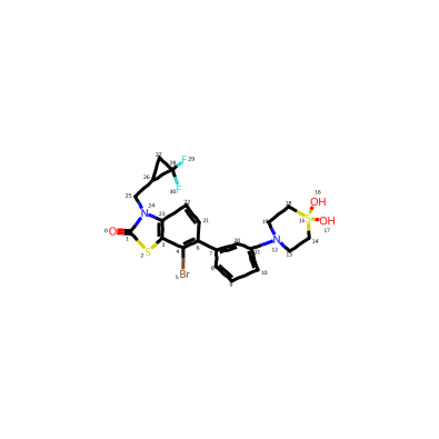 O=c1sc2c(Br)c(-c3cccc(N4CCS(O)(O)CC4)c3)ccc2n1CC1CC1(F)F